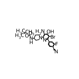 CC(C)(C)OC(=O)NC1CCN(c2nc(-c3ccc(C#N)c(F)c3)c(Br)c(O)c2N)CC1